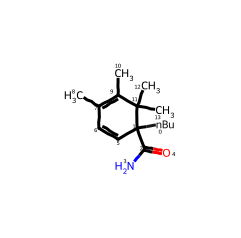 CCCCC1(C(N)=O)C=CC(C)=C(C)C1(C)C